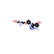 Nc1ncnc2c1c(-c1cccc(O)c1)cn2-c1cccc(OCCCNCCO)c1